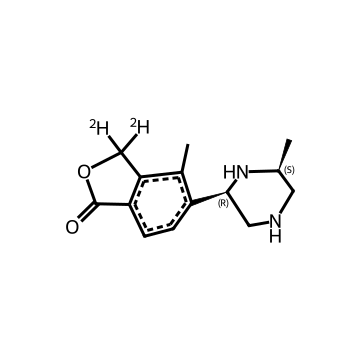 [2H]C1([2H])OC(=O)c2ccc([C@@H]3CNC[C@H](C)N3)c(C)c21